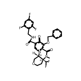 CN1C(=O)c2c(OCc3ccccc3)c(=O)c(C(=O)NCc3c(F)cc(F)cc3F)cn2[C@H]2COCC[C@]21C(F)F